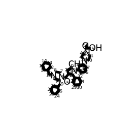 Cc1cc(C(=O)N2CCN(Cc3ccccc3)C[C@H]2Cc2ccccc2)c(-c2ccccc2)n1-c1cccc(N2CCN(C(=O)O)CC2)c1